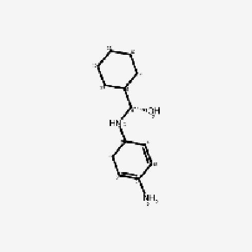 NC1=CCC(N[C@@H](O)C2CCCCC2)C=C1